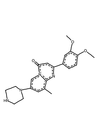 COc1ccc(-c2cc(=O)n3cc(N4CCNCC4)cc(C)c3n2)cc1OC